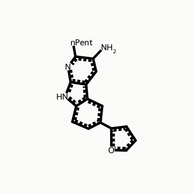 CCCCCc1nc2[nH]c3ccc(-c4ccco4)cc3c2cc1N